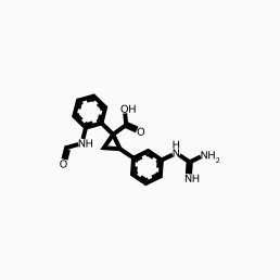 N=C(N)Nc1cccc(C2CC2(C(=O)O)c2ccccc2NC=O)c1